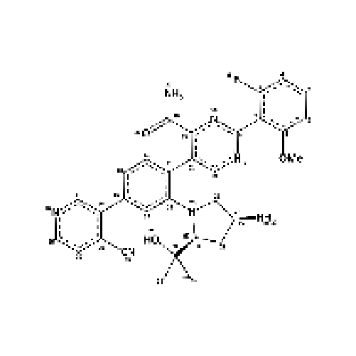 COc1cccc(F)c1-c1ncc(-c2ccc(-c3cnccc3C#N)cc2N2C[C@@H](N)C[C@H]2C2(O)CC2)c(C(N)=O)n1